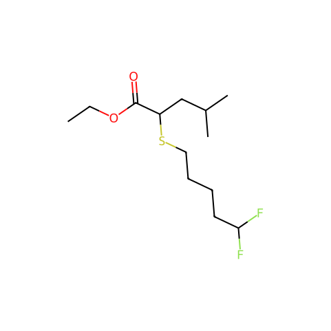 CCOC(=O)C(CC(C)C)SCCCCC(F)F